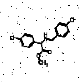 COC(=O)C(NCc1ccc(Cl)cc1)c1ccc(Cl)cc1